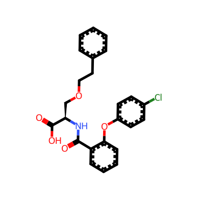 O=C(N[C@H](COCCc1ccccc1)C(=O)O)c1ccccc1Oc1ccc(Cl)cc1